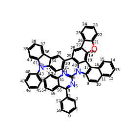 c1ccc(-c2nc(-n3c4ccc5ccccc5c4c4c5oc6ccccc6c5cc(-c5ccc6c(c5)c5ccccc5n6-c5ccccc5)c43)nc3ccccc23)cc1